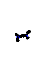 C=C(\N=C(/N=C(C)/C(C)=C/C=C\C)c1ccc(C(CC)(CC)c2ccc(-c3nc(C4=CCCC=C4)nc(-c4ccc5ccccc5c4)n3)cc2)cc1)c1ccc2ccccc2c1